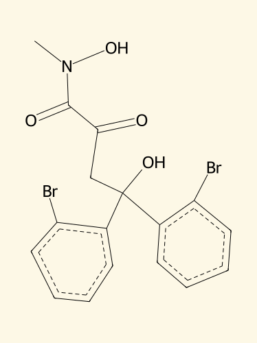 CN(O)C(=O)C(=O)CC(O)(c1ccccc1Br)c1ccccc1Br